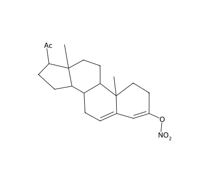 CC(=O)C1CCC2C3CC=C4C=C(O[N+](=O)[O-])CCC4(C)C3CCC12C